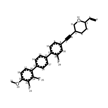 C=CC1CCC(C#Cc2ccc(-c3ccc(-c4ccc(OC)c(F)c4F)cc3)c(F)c2)CO1